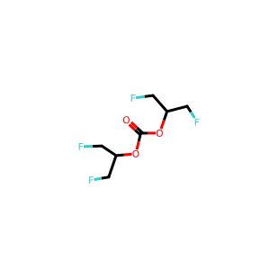 O=C(OC(CF)CF)OC(CF)CF